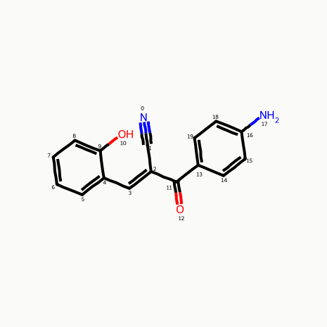 N#CC(=Cc1ccccc1O)C(=O)c1ccc(N)cc1